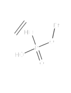 C=C.CCOP(=O)(O)O